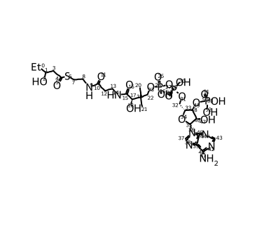 CCC(O)CC(=O)SCCNC(=O)CCNC(=O)[C@H](O)C(C)(C)COP(=O)(O)OP(=O)(O)OC[C@H]1O[C@H](n2cnc3c(N)ncnc32)[C@H](O)[C@@H]1OP(=O)(O)O